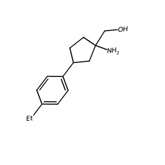 CCc1ccc(C2CCC(N)(CO)C2)cc1